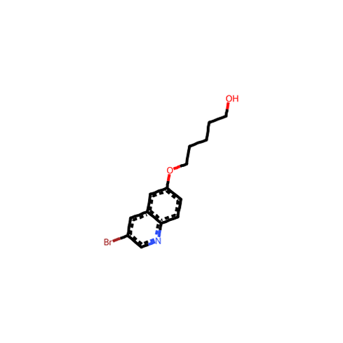 OCCCCCOc1ccc2ncc(Br)cc2c1